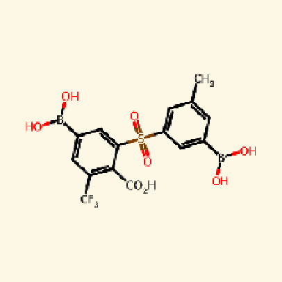 Cc1cc(B(O)O)cc(S(=O)(=O)c2cc(B(O)O)cc(C(F)(F)F)c2C(=O)O)c1